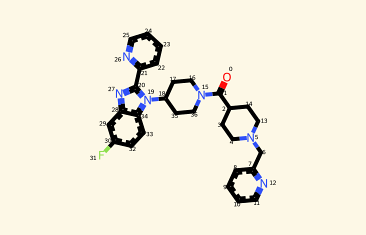 O=C(C1CCN(Cc2ccccn2)CC1)N1CCC(n2c(-c3ccccn3)nc3cc(F)ccc32)CC1